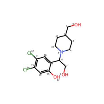 OCC1CCN(C(CO)c2cc(Cl)c(Cl)cc2O)CC1